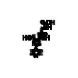 O=C(O)NCc1cc(-c2sc(-c3ccncc3)nc2CO)[nH]n1